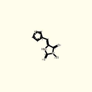 CCN1C(=O)C(=Cc2ccsc2)NC1=S